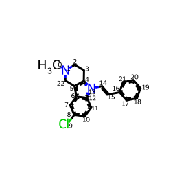 CN1CCc2c(c3cc(Cl)ccc3n2C=Cc2ccccc2)C1